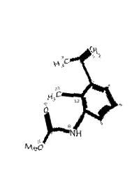 C=C(C)c1cccc(NC(=O)OC)c1C